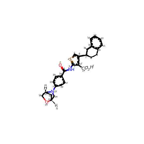 O=C(Nc1scc(C2CCc3ccccc3C2)c1C(=O)O)c1ccc(N2C[C@H]3C[C@@H]2CO3)cc1